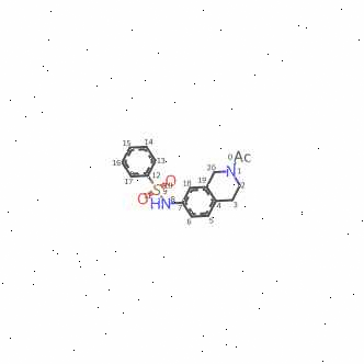 CC(=O)N1CCc2ccc(NS(=O)(=O)c3ccccc3)cc2C1